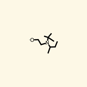 CCC(C)N(CC[O])C(C)(C)C